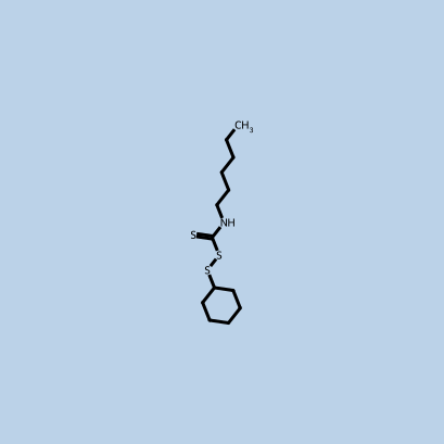 CCCCCCNC(=S)SSC1CCCCC1